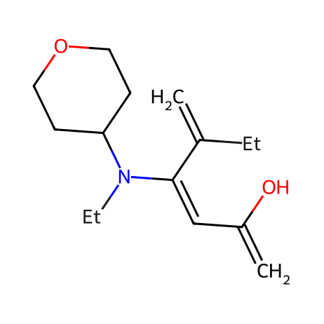 C=C(O)/C=C(\C(=C)CC)N(CC)C1CCOCC1